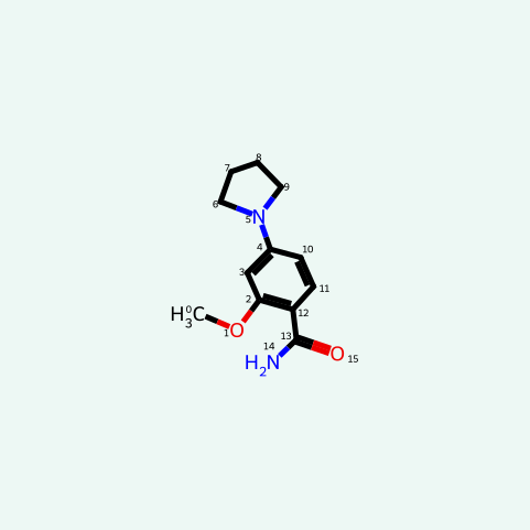 COc1cc(N2CCCC2)ccc1C(N)=O